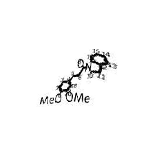 COc1ccc(C=CC(=O)N2CCc3ccccc32)cc1OC